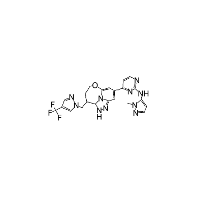 Cn1nccc1Nc1nccc(C2=CC3=NNC4C(Cn5cc(C(F)(F)F)cn5)CCOC(=C2)N34)n1